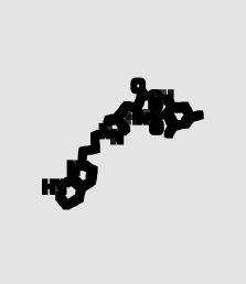 Cc1cc(C)c(S(=O)(=O)NC(Cc2cnn(CCCc3ccc4c(n3)NCCC4)c2)C(=O)O)c(C)c1